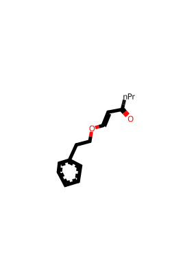 CCCC(=O)C=COCCc1ccccc1